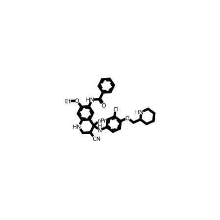 CCCC1(Nc2ccc(OCC3CCCCN3)c(Cl)c2)c2cc(NC(=O)c3ccccc3)c(OCC)cc2NCC1C#N